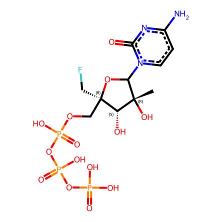 C[C@]1(O)C(n2ccc(N)nc2=O)O[C@](CF)(COP(=O)(O)OP(=O)(O)OP(=O)(O)O)[C@H]1O